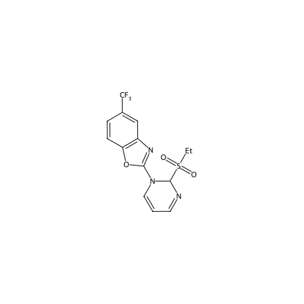 CCS(=O)(=O)C1N=CC=CN1c1nc2cc(C(F)(F)F)ccc2o1